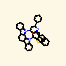 c1ccc(-c2cc(-n3c4ccccc4c4ccc5c6ccccc6n(-c6cccc7c6sc6ccccc67)c5c43)cc(-c3ccccc3)n2)cc1